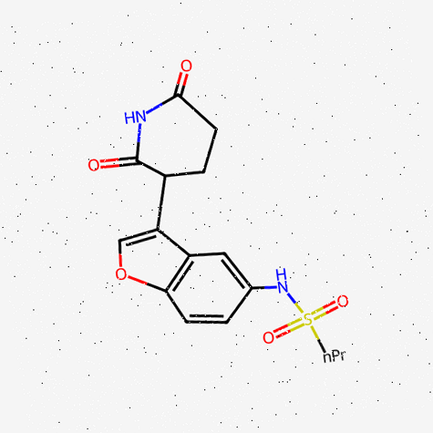 CCCS(=O)(=O)Nc1ccc2occ(C3CCC(=O)NC3=O)c2c1